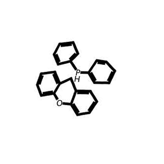 c1ccc(Pc2ccccc2)cc1.c1ccc2c(c1)Cc1ccccc1O2